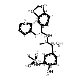 C[C@@H](N[C@H](Cc1ccccc1)c1ccc2c(c1)OCO2)[C@H](O)c1ccc(O)c(NS(C)(=O)=O)c1